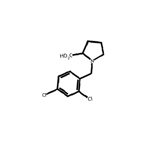 O=C(O)C1CCCN1Cc1ccc(Cl)cc1Cl